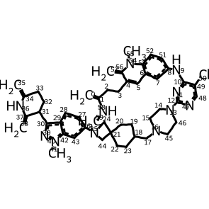 C=C(CCC1=Cc2cc(Nc3nc(N4CCN(CC5CCC6(CC5)CN(c5ccc7c(C8CCC(=C)NC8=C)nn(C)c7c5)C6)CC4)ncc3Cl)ccc2N(C)C1=C)NC